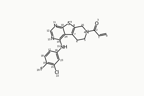 C=CC(=O)N1CCc2c(sc3ncnc(Nc4ccc(F)c(Cl)c4)c23)C1